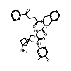 Cc1cc(NC(=O)[C@@H](C[C@@H]2CC3(N)CC2C3)NC(=O)[C@@H]2Cc3ccccc3CN2C(=O)CCC(=O)c2ccccc2)ccc1Cl